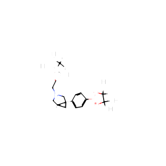 CC1(C)OB(c2ccc([C@@]34C[C@@H]3CN(CCO[Si](C)(C)C(C)(C)C)C4)cc2)OC1(C)C